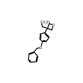 CCOC(=O)CC1(c2ccc(OCc3ccccc3)cc2)COC1